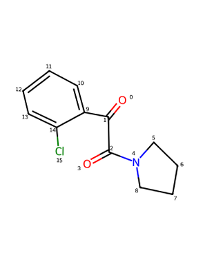 O=C(C(=O)N1CCCC1)c1ccccc1Cl